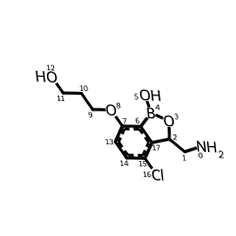 NCC1OB(O)c2c(OCCCO)ccc(Cl)c21